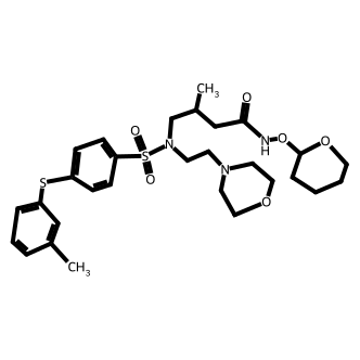 Cc1cccc(Sc2ccc(S(=O)(=O)N(CCN3CCOCC3)CC(C)CC(=O)NOC3CCCCO3)cc2)c1